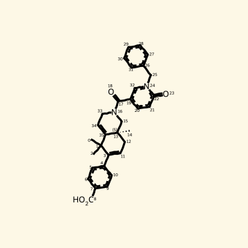 CC1(C)C(c2ccc(C(=O)O)cc2)=CC[C@]2(C)CN(C(=O)c3ccc(=O)n(Cc4ccccc4)c3)CC=C12